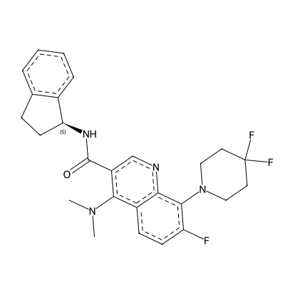 CN(C)c1c(C(=O)N[C@H]2CCc3ccccc32)cnc2c(N3CCC(F)(F)CC3)c(F)ccc12